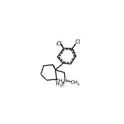 CC1CCCCC1(CN(C)C)c1ccc(Cl)c(Cl)c1